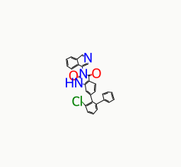 O=c1[nH]c2cc(-c3c(Cl)cccc3-c3ccccc3)ccc2c(=O)n1-c1cncc2ccccc12